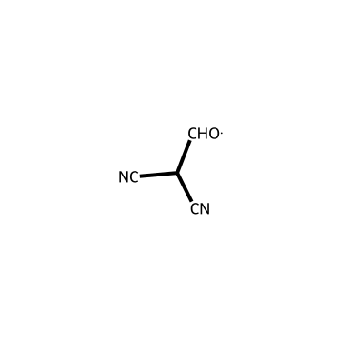 N#CC([C]=O)C#N